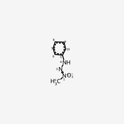 C/[N+]([O-])=N/Nc1ccccc1